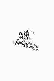 Cc1cc(C(=O)N2CCC(C)(C)c3ccc(N4CCC(N5CCOCC5)CC4)cc3C2)n(C)n1